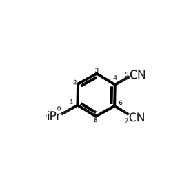 C[C](C)c1ccc(C#N)c(C#N)c1